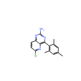 Cc1cc(C)c(-c2nc(N)nc3ccc(Cl)nc23)c(C)c1